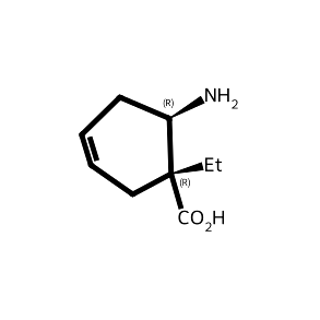 CC[C@@]1(C(=O)O)CC=CC[C@H]1N